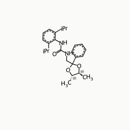 CC(C)c1cccc(C(C)C)c1NC(=O)NCC1(c2ccccc2)O[C@@H](C)[C@H](C)O1